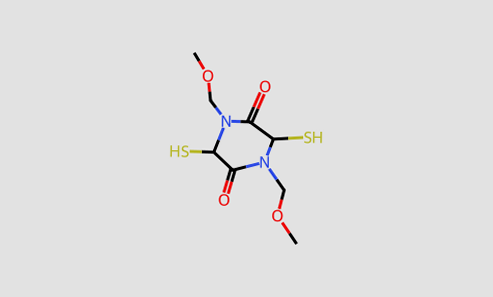 COCN1C(=O)C(S)N(COC)C(=O)C1S